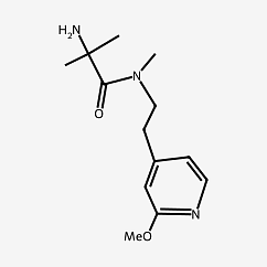 COc1cc(CCN(C)C(=O)C(C)(C)N)ccn1